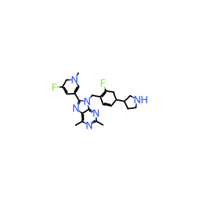 Cc1nc(C)c2nc(C3=CN(C)CC(F)=C3)n(CC3=C(F)CC(C4CCNC4)C=C3)c2n1